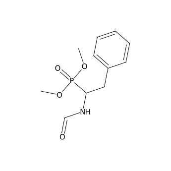 COP(=O)(OC)C(Cc1ccccc1)NC=O